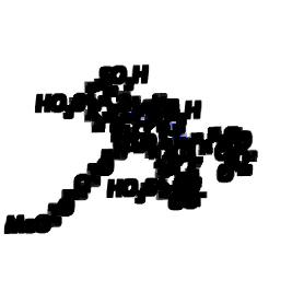 CC[N+]1=C(/C=C/C2=C(Cl)C(=C/C=C3/N(CCCC(=O)ON4C(=O)CCC4=O)c4ccc5c(S(=O)(=O)[O-])cc(S(=O)(=O)O)cc5c4C3(C)CCOCCOCCOCCOCCOCCOC)/CCC2)C(C)(CCCS(=O)(=O)O)c2c1ccc1c(S(=O)(=O)O)cc(S(=O)(=O)O)cc21